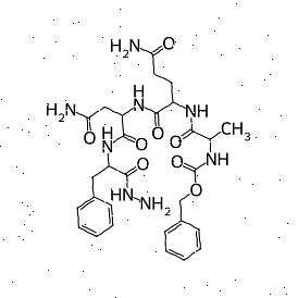 CC(NC(=O)OCc1ccccc1)C(=O)NC(CCC(N)=O)C(=O)NC(CC(N)=O)C(=O)NC(Cc1ccccc1)C(=O)NN